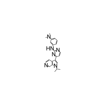 CC(C)n1cc(-c2ccnc(Nc3cccc(N(C)C)c3)n2)c2ccncc21